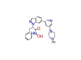 CC(=O)N1CCN(c2cncc(-c3ccc4cnn(C(Cc5ccccc5)C(=O)NO)c4c3)c2)CC1